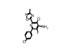 Cc1noc(-c2nc(-c3ccc(Cl)cc3)c(F)c(N)c2Cl)n1